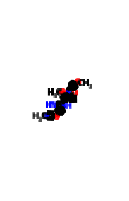 COc1ccc(CN2C(=O)C3(CCC3)c3cc(/C(=C/C=N)Nc4ccc(OC5CCN(C)CC5)cc4)cc(OC)c32)cc1